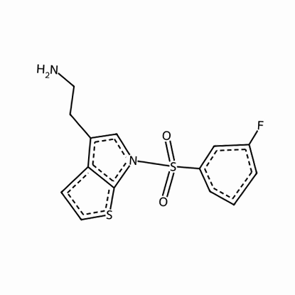 NCCc1cn(S(=O)(=O)c2cccc(F)c2)c2sccc12